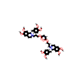 COc1ccc(C[C@H]2c3cc(OC)c(OC)cc3CC[N@+]2(C)CCCOC(=O)/C=C\C(=O)OCCC[N@@+]2(C)CCc3cc(OC)c(OC)cc3[C@@H]2Cc2ccc(OC)c(OC)c2)cc1OC